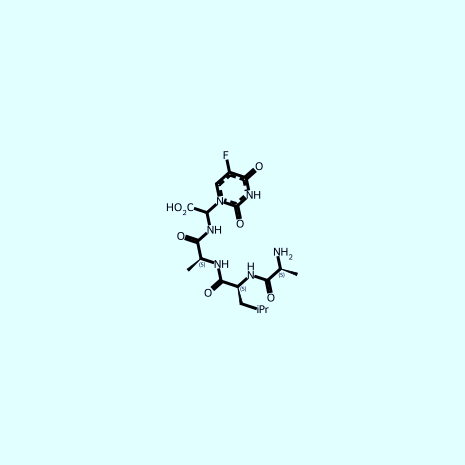 CC(C)C[C@H](NC(=O)[C@H](C)N)C(=O)N[C@@H](C)C(=O)NC(C(=O)O)n1cc(F)c(=O)[nH]c1=O